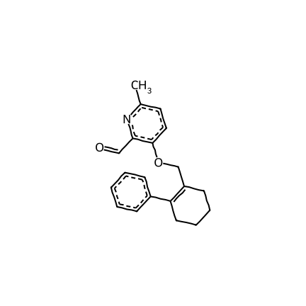 Cc1ccc(OCC2=C(c3ccccc3)CCCC2)c(C=O)n1